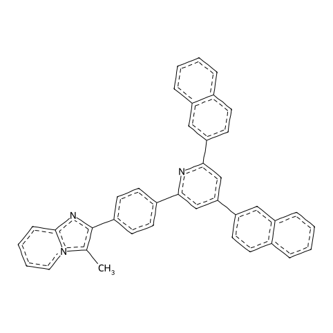 Cc1c(-c2ccc(-c3cc(-c4ccc5ccccc5c4)cc(-c4ccc5ccccc5c4)n3)cc2)nc2ccccn12